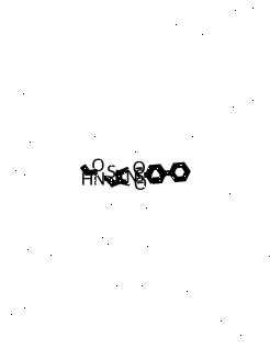 C=CC(=O)Nc1cc2c(s1)CN(S(=O)(=O)c1ccc(C3CCCCC3)cc1)C2